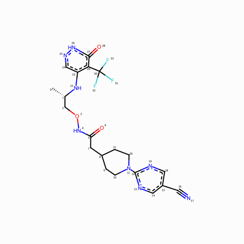 C[C@@H](CONC(=O)CC1CCN(c2ncc(C#N)cn2)CC1)Nc1cn[nH]c(=O)c1C(F)(F)F